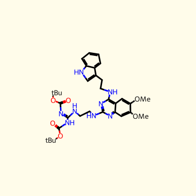 COc1cc2nc(NCCN/C(=N\C(=O)OC(C)(C)C)NC(=O)OC(C)(C)C)nc(NCCc3c[nH]c4ccccc34)c2cc1OC